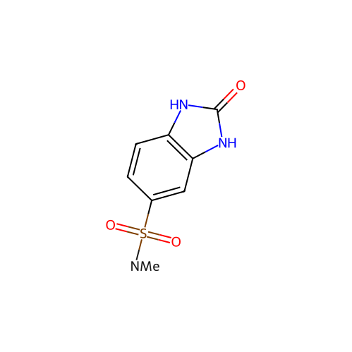 CNS(=O)(=O)c1ccc2[nH]c(=O)[nH]c2c1